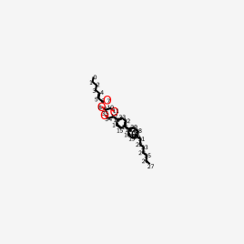 CCCC/C=C/C(=O)OC1COC(c2ccc(C34CCC(CCCCCCC)(CC3)CC4)cc2)CO1